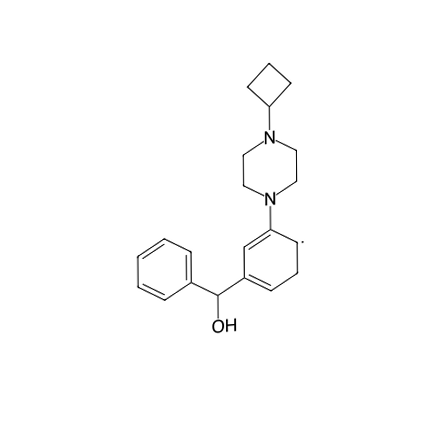 OC(C1=CC[CH]C(N2CCN(C3CCC3)CC2)=C1)c1ccccc1